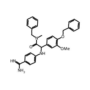 COc1cc(C(Nc2ccc(C(=N)N)cc2)C(=O)N(C)Cc2ccccc2)ccc1OCc1ccccc1